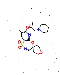 Cc1cc2c(nc1O[C@@H](C)CN1CCCCC1)OC1(C=NS2(=O)=O)CCOCC1